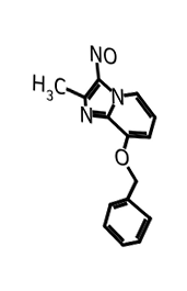 Cc1nc2c(OCc3ccccc3)cccn2c1N=O